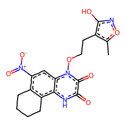 Cc1onc(O)c1CCOn1c(=O)c(=O)[nH]c2c3c(c([N+](=O)[O-])cc21)CCCC3